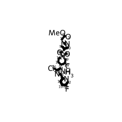 COC(=O)Cn1cc(S(=O)(=O)N2CC[C@@H](c3[nH]c(-c4ccc(F)cn4)nc3Cl)[C@@H](C)C2)cn1